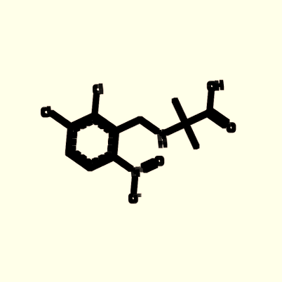 CC(C)(NCc1c([N+](=O)[O-])ccc(Cl)c1Cl)C(=O)O